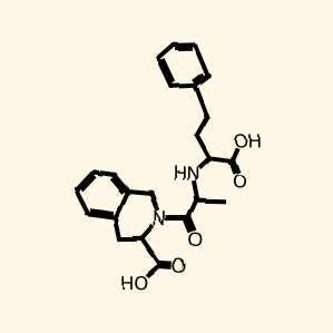 CC(NC(CCc1ccccc1)C(=O)O)C(=O)N1Cc2ccccc2CC1C(=O)O